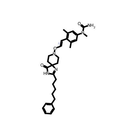 Cc1cc(N(C)C(N)=O)cc(C)c1/C=C/ON1CCC2(CC1)N=C(CCCCCc1ccccc1)NC2=O